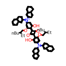 CCCCC(CC)COC1=CC(=[N+](c2ccc3ccccc3c2)c2ccc3ccccc3c2)C=C(O)/C1=C1\C(=O)C(c2c(O)cc(N(c3ccc4ccccc4c3)c3ccc4ccccc4c3)cc2OCC(CC)CCCC)=C1[O-]